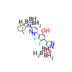 BC(B)(B)Oc1cc(-c2cc(O)c(-c3ccc(N([C@H]4C[C@]5(C)CC[C@](C)(C4)C5)C(B)(B)B)nn3)c(F)c2F)cnn1